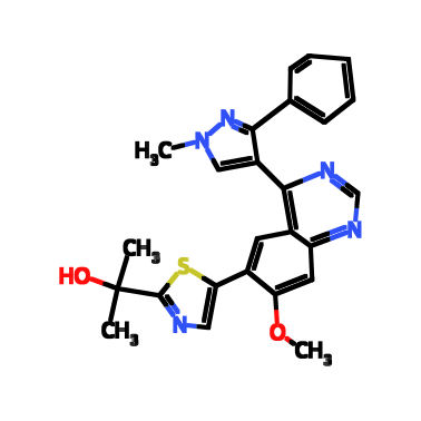 COc1cc2ncnc(-c3cn(C)nc3-c3ccccc3)c2cc1-c1cnc(C(C)(C)O)s1